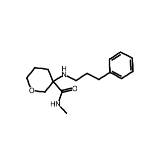 CNC(=O)C1(NCCCc2ccccc2)CCCOC1